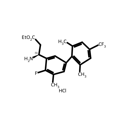 CCOC(=O)C[C@H](N)c1cc(-c2c(C)cc(C(F)(F)F)cc2C)cc(C)c1F.Cl